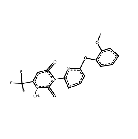 Cn1c(C(F)(F)F)cc(=O)n(-c2cccc(Oc3ccccc3OI)n2)c1=O